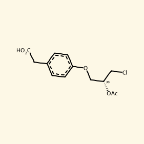 CC(=O)O[C@@H](CCl)COc1ccc(CC(=O)O)cc1